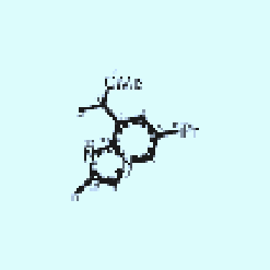 COC(C)c1cc(C(C)C)cn2cc(C)nc12